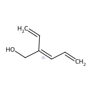 C=C/C=C(\C=C)CO